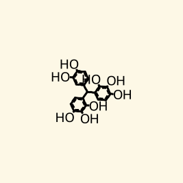 Oc1ccc(C(c2ccc(O)c(O)c2O)c2ccc(O)c(O)c2O)cc1O